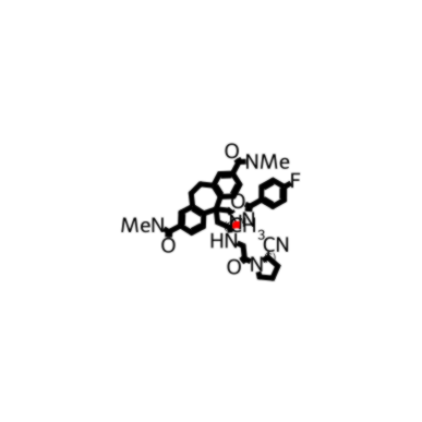 CNC(=O)c1ccc2c(c1)CCc1cc(C(=O)NC)ccc1C2(C[C@H](C)NCC(=O)N1CCC[C@H]1C#N)c1nnc(-c2ccc(F)cc2)o1